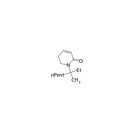 CCCCCC(C)(CC)N1CCC=CC1=O